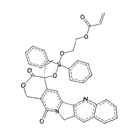 C=CC(=O)OCCO[Si](O[C@]1(CC)C(=O)OCc2c1cc1n(c2=O)Cc2cc3ccccc3nc2-1)(c1ccccc1)c1ccccc1